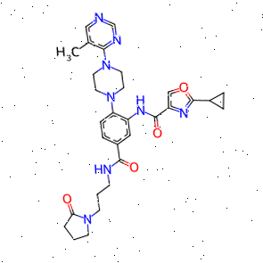 Cc1cncnc1N1CCN(c2ccc(C(=O)NCCCN3CCCC3=O)cc2NC(=O)c2coc(C3CC3)n2)CC1